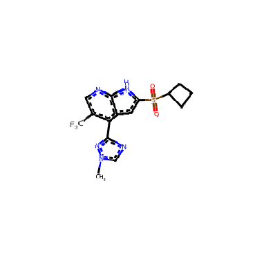 Cn1cnc(-c2c(C(F)(F)F)cnc3[nH]c(S(=O)(=O)C4CCC4)cc23)n1